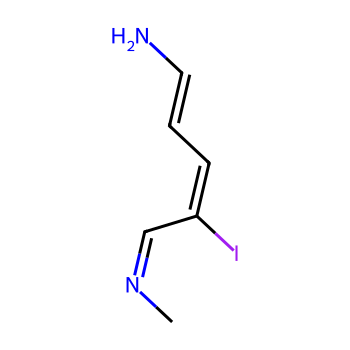 C\N=C/C(I)=C\C=C\N